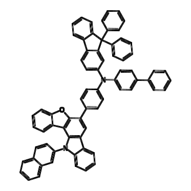 c1ccc(-c2ccc(N(c3ccc(-c4cc5c6ccccc6n(-c6ccc7ccccc7c6)c5c5c4oc4ccccc45)cc3)c3ccc4c(c3)C(c3ccccc3)(c3ccccc3)c3ccccc3-4)cc2)cc1